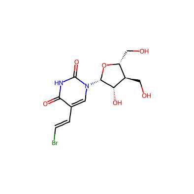 O=c1[nH]c(=O)n([C@@H]2O[C@H](CO)[C@@H](CO)[C@@H]2O)cc1C=CBr